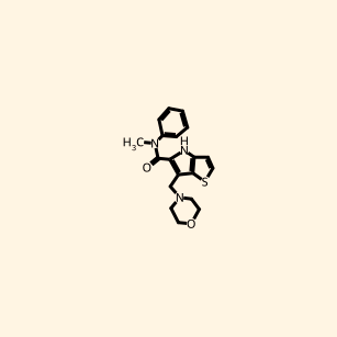 CN(C(=O)c1[nH]c2ccsc2c1CN1CCOCC1)c1ccccc1